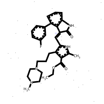 CCOC(=O)c1c(C)[nH]c(/C=C2\C(=O)Nc3cccc(-c4cccc(F)c4)c32)c1CCCN1CCN(C)CC1